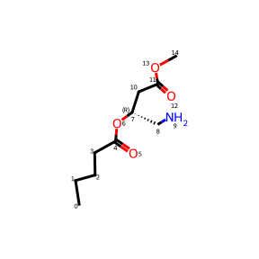 CCCCC(=O)O[C@@H](CN)CC(=O)OC